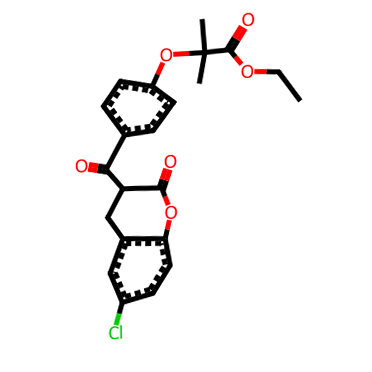 CCOC(=O)C(C)(C)Oc1ccc(C(=O)C2Cc3cc(Cl)ccc3OC2=O)cc1